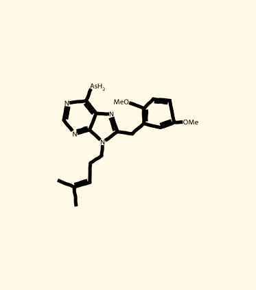 COc1ccc(OC)c(Cc2nc3c([AsH2])ncnc3n2CCC=C(C)C)c1